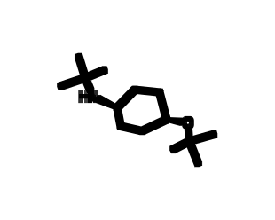 CC(C)(C)N[C@H]1CC[C@@H](OC(C)(C)C)CC1